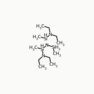 CCN(CC)[SiH](C)N([SiH2]C)[SiH](C)N(CC)CC